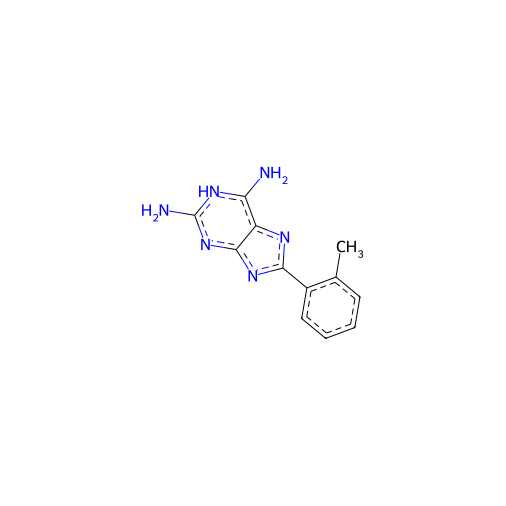 Cc1ccccc1-c1nc2nc(N)[nH]c(N)c-2n1